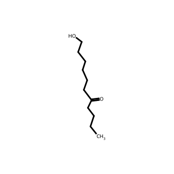 CCCCC(=O)CCCCCCO